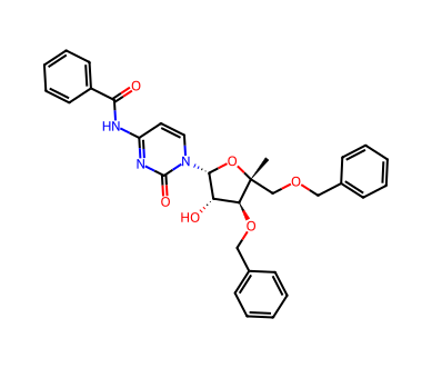 C[C@]1(COCc2ccccc2)O[C@@H](n2ccc(NC(=O)c3ccccc3)nc2=O)[C@@H](O)[C@@H]1OCc1ccccc1